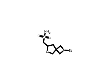 CCN1CC2(COC(CS(N)(=O)=O)C2)C1